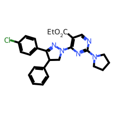 CCOC(=O)c1cnc(N2CCCC2)nc1N1CC(c2ccccc2)C(c2ccc(Cl)cc2)=N1